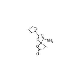 NC(=O)C1(OCC2CCCC2)[CH]CC(=O)O1